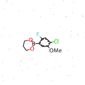 COc1cc(B2OCCCO2)c(F)cc1Cl